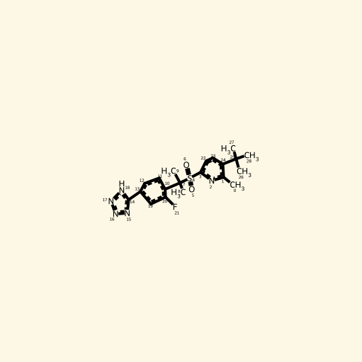 Cc1nc(S(=O)(=O)C(C)(C)c2ccc(-c3nnn[nH]3)cc2F)ccc1C(C)(C)C